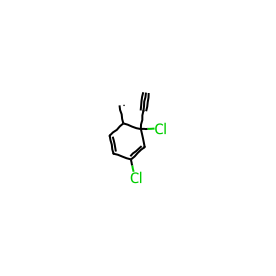 C#CC1(Cl)C=C(Cl)C=CC1[CH2]